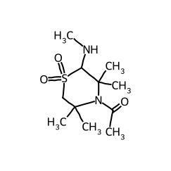 CNC1C(C)(C)N(C(C)=O)C(C)(C)CS1(=O)=O